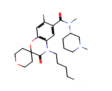 COCCCCN1C(=O)C2(CCOCC2)Oc2cc(Cl)c(C(=O)N(C(C)C)[C@@H]3CCCN(C(=O)O)C3)cc21